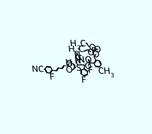 C=CCOP(=O)(OCC=C)OCc1ccc(C)cc1C(=O)O[C@@](Cn1cncn1)(c1ccc(F)cc1F)[C@@H](C)S[C@H]1CO[C@H](/C=C/C=C/c2ccc(C#N)cc2F)OC1